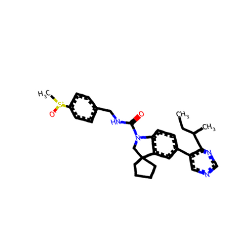 CCC(C)c1ncncc1-c1ccc2c(c1)C1(CCCC1)CN2C(=O)NCc1ccc([S+](C)[O-])cc1